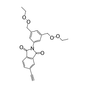 C#Cc1ccc2c(c1)C(=O)N(c1cc(COOCC)cc(COOCC)c1)C2=O